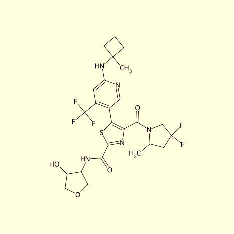 CC1CC(F)(F)CN1C(=O)c1nc(C(=O)NC2COCC2O)sc1-c1cnc(NC2(C)CCC2)cc1C(F)(F)F